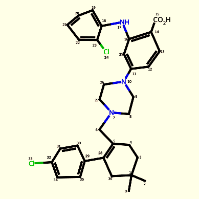 CC1(C)CCC(CN2CCN(c3ccc(C(=O)O)c(Nc4ccccc4Cl)c3)CC2)=C(c2ccc(Cl)cc2)C1